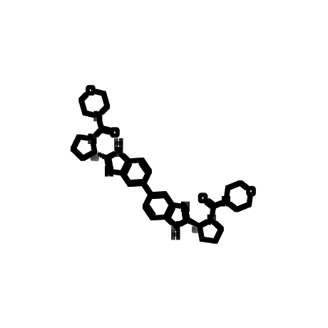 O=C(N1CCOCC1)N1CCC[C@H]1c1nc2cc(-c3ccc4[nH]c([C@@H]5CCCN5C(=O)N5CCOCC5)nc4c3)ccc2[nH]1